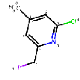 Cc1cc(Cl)nc(CI)c1